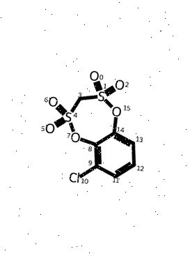 O=S1(=O)CS(=O)(=O)Oc2c(Cl)cccc2O1